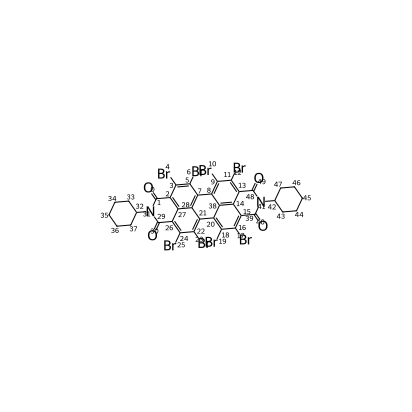 O=C1c2c(Br)c(Br)c3c4c(Br)c(Br)c5c6c(c(Br)c(Br)c(c7c(Br)c(Br)c(c2c37)C(=O)N1C1CCCCC1)c64)C(=O)N(C1CCCCC1)C5=O